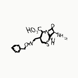 N[C@@H]1C(=O)N2C(C(=O)O)=C(/C=N/OCc3ccccc3)CS[C@H]12